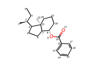 CC[C@H](C)C1CCC2[C@@H](OC(=O)c3ccccc3)CCC[C@@]21C